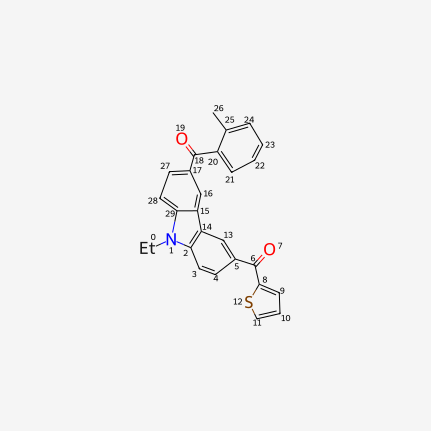 CCn1c2ccc(C(=O)c3cccs3)cc2c2cc(C(=O)c3ccccc3C)ccc21